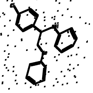 Clc1ccc(C(C[Se]c2ccccc2)Nc2ccccc2)cc1